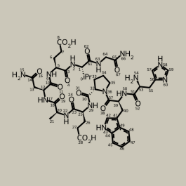 CC(C)[C@H](NC(=O)[C@H](CCC(=O)O)NC(=O)[C@H](CC(N)=O)NC(=O)[C@H](C)NC(=O)[C@H](CCC(=O)O)NC(=O)[C@@H]1CCCN1C(=O)[C@H](Cc1c[nH]c2ccccc12)NC(=O)[C@@H](N)Cc1c[nH]cn1)C(=O)NCC(N)=O